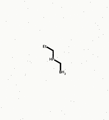 BCPCCC